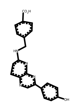 O=C(O)c1ccc(CNc2ccc3ncc(-c4ccc(O)cc4)nc3n2)cc1